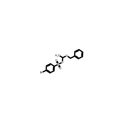 CC(OCc1ccccc1)OS(=O)(=O)c1ccc(Br)cc1